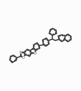 c1ccc(-c2nc3cc4c(cc3o2)oc2cc(-c3ccc(C(Cc5ccc6ccccc6c5)c5ccccc5)cc3)ccc24)cc1